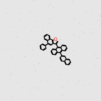 c1ccc(-c2cc3c(-c4c5ccccc5c(-c5ccc6ccccc6c5)c5ccccc45)coc3c3ccccc23)cc1